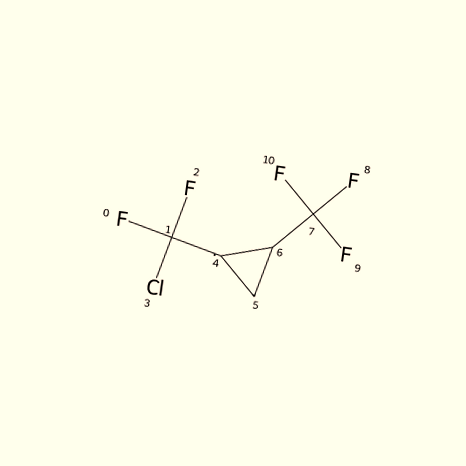 FC(F)(Cl)[C]1CC1C(F)(F)F